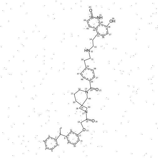 CC(c1ccccc1)c1cccc(OCC(=O)N2CC3(CCCN(C(=O)c4ccc(CCNCCc5ccc(O)c6[nH]c(=O)ccc56)cc4)C3)C2)c1